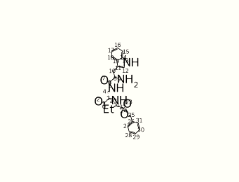 CCC(=O)[C@H](CNC(=O)C(N)Cc1c[nH]c2ccccc12)NCC(=O)OCc1ccccc1